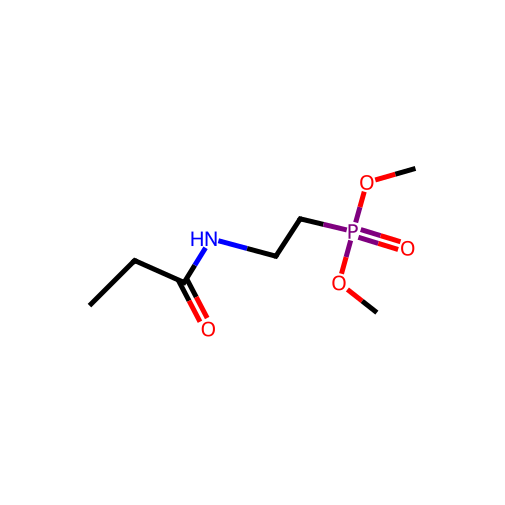 CCC(=O)NCCP(=O)(OC)OC